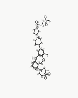 Cc1cc(C2CCN(C3CCN(C(=O)CCS(C)(=O)=O)C3)CC2)cc2c1OCc1c(ncnc1N1CCS(=O)(=O)CC1)N2